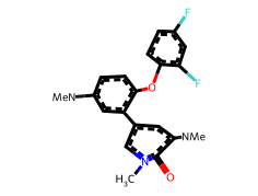 CNc1ccc(Oc2ccc(F)cc2F)c(-c2cc(NC)c(=O)n(C)c2)c1